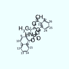 C[C@H](NP(=O)(Cl)Oc1cccc2ccccc12)C(=O)O[C@@H](C)c1ccccc1